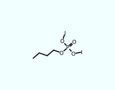 CCCCOP(=O)(OI)OI